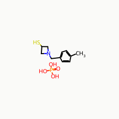 Cc1ccc(CN2CC(S)C2)cc1.O=P(O)(O)O